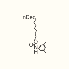 CCCCCCCCCCCCCCCCCCOC(=O)Nc1cc(C)cc(C)c1